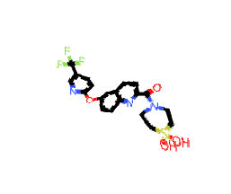 O=C(c1ccc2cc(Oc3ccc(C(F)(F)F)cn3)ccc2n1)N1CCS(O)(O)CC1